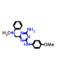 COc1ccc(Nc2nc(N)nc(CN(C)c3ccccc3)n2)cc1